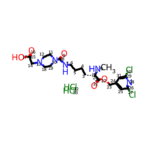 CN[C@@H](CCCCNC(=O)N1CCN(CC(=O)O)CC1)C(=O)OCc1cc(Cl)nc(Cl)c1.Cl.Cl